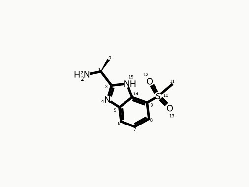 C[C@H](N)c1nc2cccc(S(C)(=O)=O)c2[nH]1